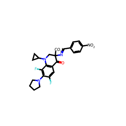 O=C(O)C1(N=Cc2ccc([N+](=O)[O-])cc2)CN(C2CC2)c2c(cc(F)c(N3CCCC3)c2F)C1=O